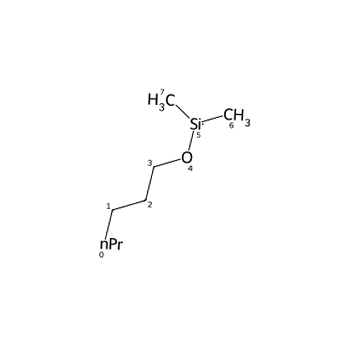 CCCCCCO[Si](C)C